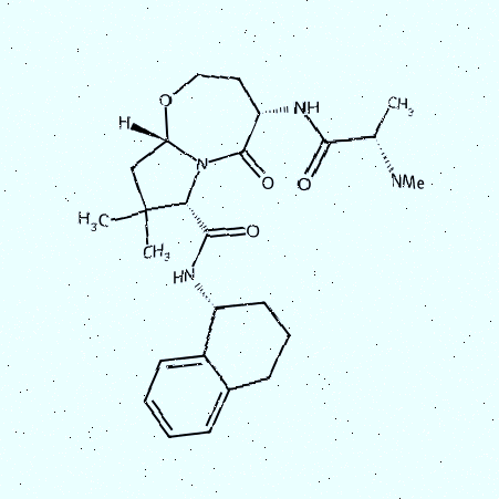 CN[C@@H](C)C(=O)N[C@H]1CCO[C@H]2CC(C)(C)[C@@H](C(=O)N[C@@H]3CCCc4ccccc43)N2C1=O